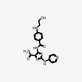 NC(=O)c1nc(Nc2ccncc2)sc1NC(=O)c1ccc(NCCO)cc1